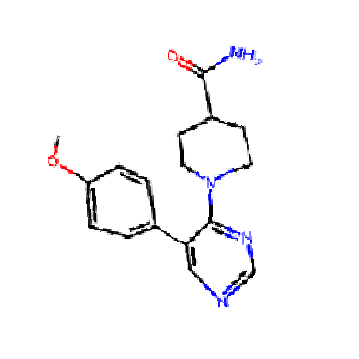 COc1ccc(-c2cncnc2N2CCC(C(N)=O)CC2)cc1